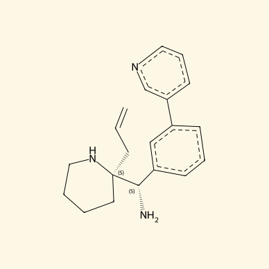 C=CC[C@]1([C@@H](N)c2cccc(-c3cccnc3)c2)CCCCN1